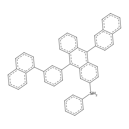 c1ccc([SiH2]c2ccc3c(-c4ccc5ccccc5c4)c4ccccc4c(-c4cccc(-c5cccc6ccccc56)c4)c3c2)cc1